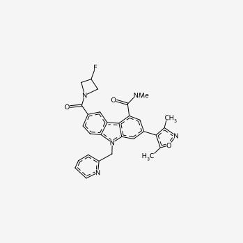 CNC(=O)c1cc(-c2c(C)noc2C)cc2c1c1cc(C(=O)N3CC(F)C3)ccc1n2Cc1ccccn1